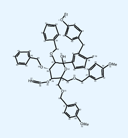 CCOc1ccc(Cc2cc(C3(O)OC(COCc4ccc(OC)cc4)(COCc4ccc(OC)cc4)[C@@H](OB=N)[C@H](OCc4ccccc4)C3OCc3ccccc3)ccc2F)cc1